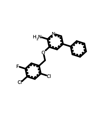 Nc1ncc(-c2ccccc2)cc1OCc1cc(F)c(Cl)cc1Cl